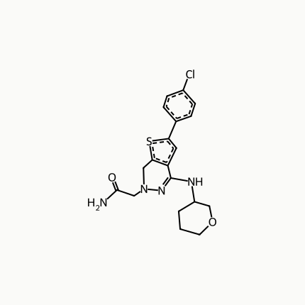 NC(=O)CN1Cc2sc(-c3ccc(Cl)cc3)cc2C(NC2CCCOC2)=N1